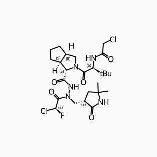 CC1(C)C[C@@H](CN(NC(=O)[C@@H]2[C@H]3CCC[C@H]3CN2C(=O)[C@@H](NC(=O)CCl)C(C)(C)C)C(=O)[C@@H](F)Cl)C(=O)N1